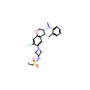 CCS(=O)(=O)NC1CN(c2cc3c(cc2F)OC[C@H](NC)[C@@H]3Cc2ccccc2)C1